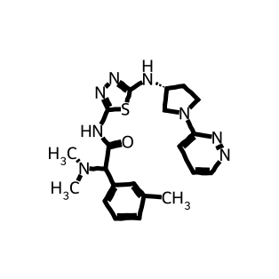 Cc1cccc(C(C(=O)Nc2nnc(N[C@@H]3CCN(c4cccnn4)C3)s2)N(C)C)c1